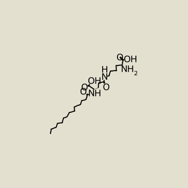 CCCCCCCCCCCCCC(=O)N[C@@H](CCC(=O)NCCCC[C@H](N)C(=O)O)C(=O)O